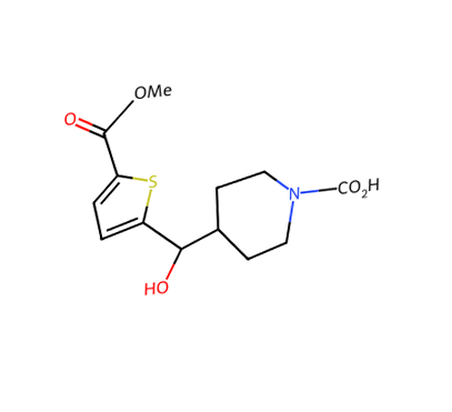 COC(=O)c1ccc(C(O)C2CCN(C(=O)O)CC2)s1